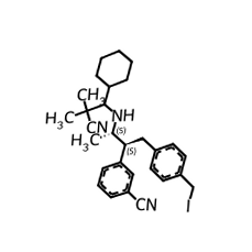 C[C@H](NC(C1CCCCC1)C(C)(C)C#N)[C@@H](Cc1ccc(CI)cc1)c1cccc(C#N)c1